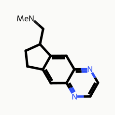 CNCC1CCc2cc3nccnc3cc21